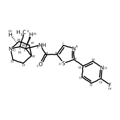 C[C@H]1[C@H](NC(=O)c2cnc(-c3ccc(F)nc3)s2)C2CCN1CC2